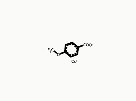 O=C([O-])c1ccc(OC(F)(F)F)cc1.[Cs+]